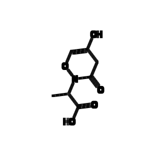 CC(C(=O)O)N1OC=C(O)CC1=O